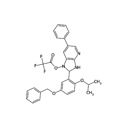 CC(C)Oc1ccc(OCc2ccccc2)cc1C1Nc2ncc(-c3ccccc3)cc2N1OC(=O)C(F)(F)F